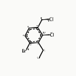 CCc1c(Br)ccc(CCl)c1Cl